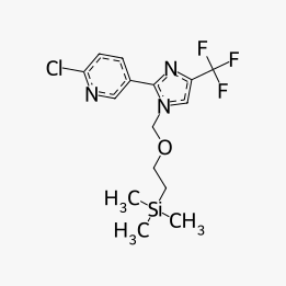 C[Si](C)(C)CCOCn1cc(C(F)(F)F)nc1-c1ccc(Cl)nc1